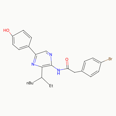 CCCCC(CC)c1nc(-c2ccc(O)cc2)cnc1NC(=O)Cc1ccc(Br)cc1